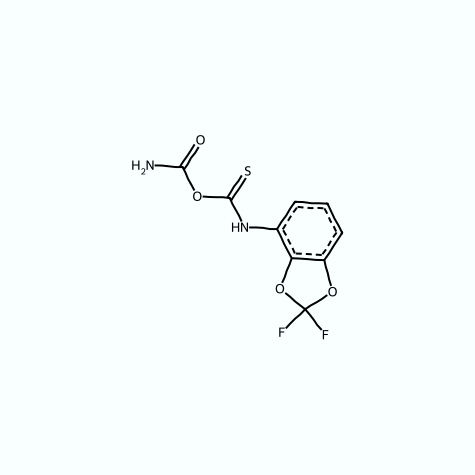 NC(=O)OC(=S)Nc1cccc2c1OC(F)(F)O2